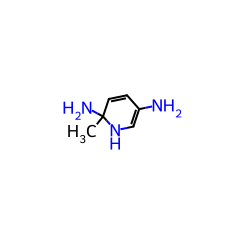 CC1(N)C=CC(N)=CN1